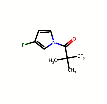 CC(C)(C(=O)n1ccc(F)c1)C(F)(F)F